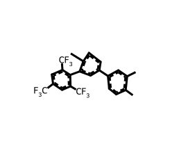 Cc1ccc(-c2ccc(C)c(-c3c(C(F)(F)F)cc(C(F)(F)F)cc3C(F)(F)F)c2)cc1C